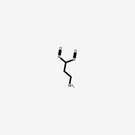 NCCC(N=O)N=O